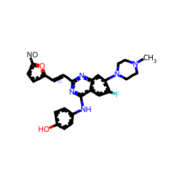 CN1CCN(c2cc3nc(/C=C/c4ccc(N=O)o4)nc(Nc4ccc(O)cc4)c3cc2F)CC1